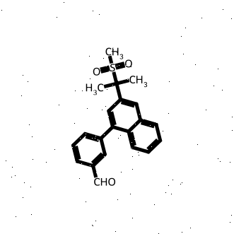 CC(C)(c1cc(-c2cccc(C=O)c2)c2ccccc2c1)S(C)(=O)=O